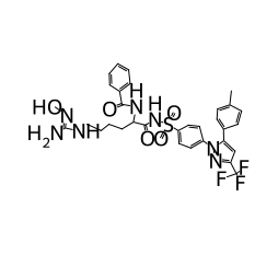 Cc1ccc(-c2cc(C(F)(F)F)nn2-c2ccc(S(=O)(=O)NC(=O)C(CCCCNC(N)=NO)NC(=O)c3ccccc3)cc2)cc1